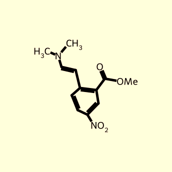 COC(=O)c1cc([N+](=O)[O-])ccc1C=CN(C)C